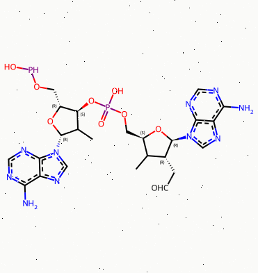 CC1[C@@H](CC=O)[C@H](n2cnc3c(N)ncnc32)O[C@@H]1COP(=O)(O)O[C@H]1C(C)[C@H](n2cnc3c(N)ncnc32)O[C@@H]1COPO